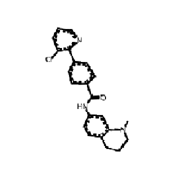 CN1CCCc2ccc(NC(=O)c3ccc(-c4ncccc4Cl)cc3)cc21